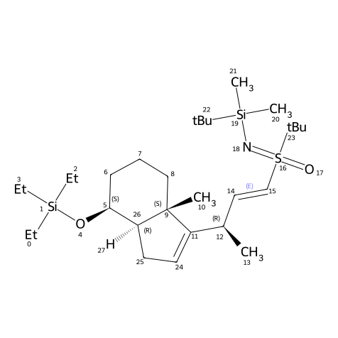 CC[Si](CC)(CC)O[C@H]1CCC[C@]2(C)C([C@H](C)/C=C/S(=O)(=N[Si](C)(C)C(C)(C)C)C(C)(C)C)=CC[C@@H]12